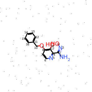 N/C(=N/O)c1nccc(OCc2ccccc2)c1O